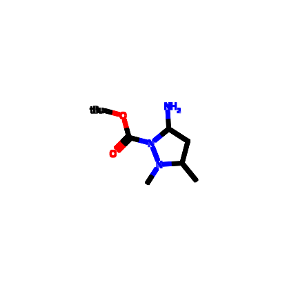 CC1CC(N)N(C(=O)OC(C)(C)C)N1C